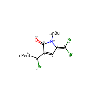 CCCCCC(Br)C1=CC(=C(Br)Br)N(CCCC)C1=O